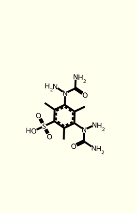 Cc1c(N(N)C(N)=O)c(C)c(S(=O)(=O)O)c(C)c1N(N)C(N)=O